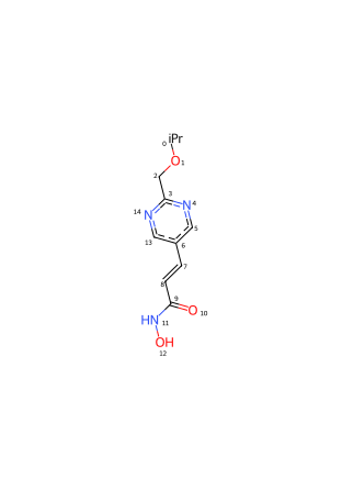 CC(C)OCc1ncc(/C=C/C(=O)NO)cn1